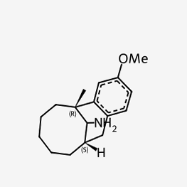 COc1ccc2c(c1)[C@@]1(C)CCCCC[C@@H](C2)C1N